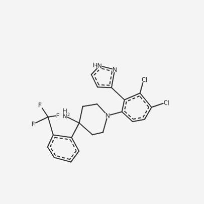 NC1(c2ccccc2C(F)(F)F)CCN(c2ccc(Cl)c(Cl)c2-c2cc[nH]n2)CC1